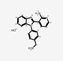 Cl.NCc1ccc(-n2c(-c3cccnc3N)nc3ccccc32)cc1